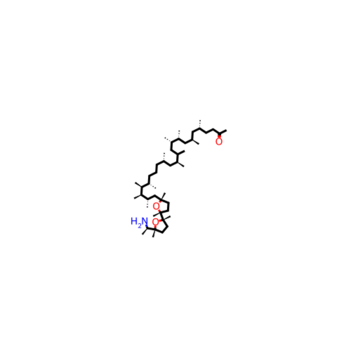 CC(=O)CC[C@@H](C)C[C@@H](C)C[C@@H](C)[C@@H](C)CC(C)[C@@H](C)C[C@@H](C)CCC[C@H](C)[C@H](C)[C@H](C)[C@@H](C)C[C@]1(C)CC[C@](C)([C@]2(C)CC[C@](C)([C@@H](C)N)O2)O1